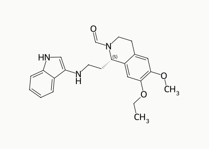 CCOc1cc2c(cc1OC)CCN(C=O)[C@H]2CCNc1c[nH]c2ccccc12